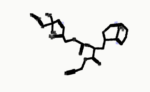 C=C(/C=C\C(C)(C)N=[N+]=[N-])COC(=O)NC(CC1C/C=C\CC/C=C/1C)C(=O)OCC#N